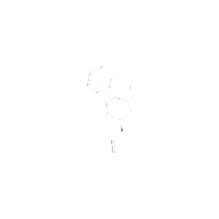 C=CC[C@H]1CC[C@@](O)(c2ccccc2)CC1